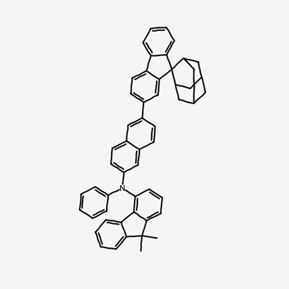 CC1(C)c2ccccc2-c2c(N(c3ccccc3)c3ccc4cc(-c5ccc6c(c5)C5(c7ccccc7-6)C6CC7CC(C6)CC5C7)ccc4c3)cccc21